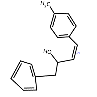 Cc1ccc(/C=C\C(O)Cc2ccccc2)cc1